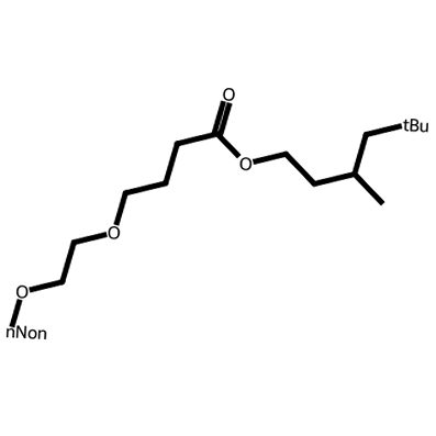 CCCCCCCCCOCCOCCCC(=O)OCCC(C)CC(C)(C)C